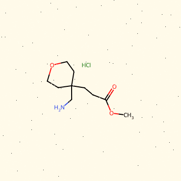 COC(=O)CCC1(CN)CCOCC1.Cl